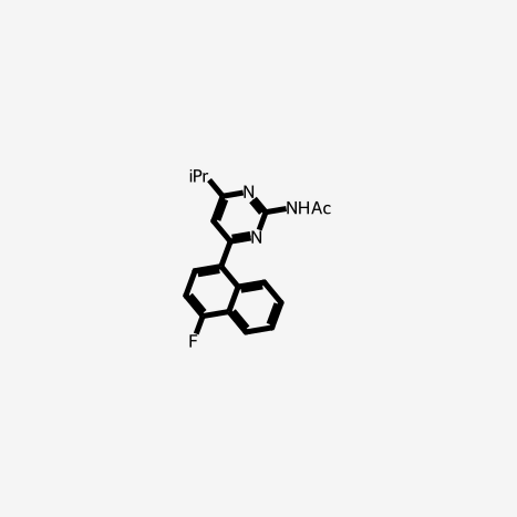 CC(=O)Nc1nc(-c2ccc(F)c3ccccc23)cc(C(C)C)n1